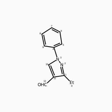 CCc1nn(-c2ccccc2)cc1C=O